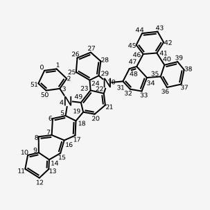 c1ccc(-n2c3cc4cc5ccccc5cc4cc3c3ccc4c(c5ccccc5n4-c4ccc5c6ccccc6c6ccccc6c5c4)c32)cc1